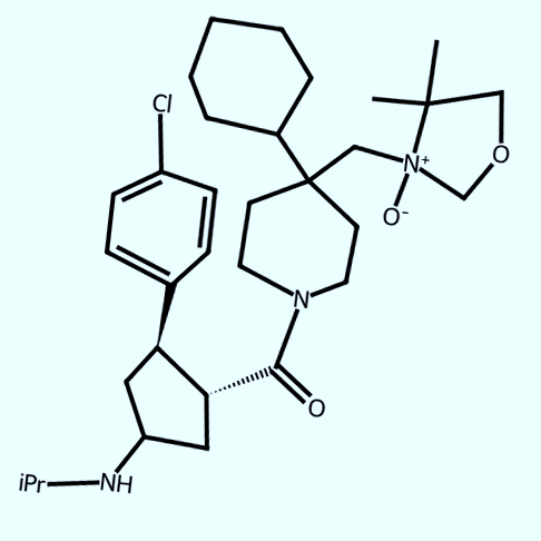 CC(C)NC1C[C@@H](C(=O)N2CCC(C[N+]3([O-])COCC3(C)C)(C3CCCCC3)CC2)[C@H](c2ccc(Cl)cc2)C1